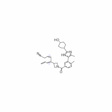 C=C/C=C(\C=C/CC#N)C1CN(C(=O)c2ccc(C)c(-c3[nH]c(C4CCC(O)CC4)nc3C)c2)C1